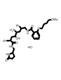 COCCCCOc1ccccc1C(=O)NCC(CC(N)C(O)CC(C(=O)NCC1CCC(=O)N1)C(C)C)C(C)C.Cl